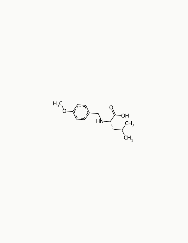 COc1ccc(CN[C@@H](CC(C)C)C(=O)O)cc1